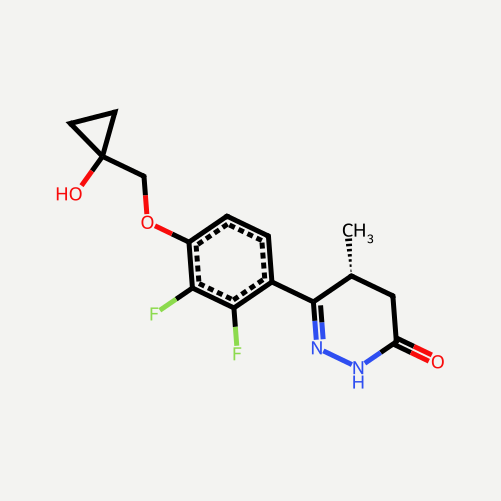 C[C@@H]1CC(=O)NN=C1c1ccc(OCC2(O)CC2)c(F)c1F